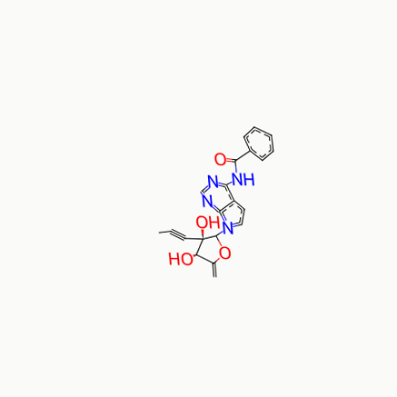 C=C1OC(n2ccc3c(NC(=O)c4ccccc4)ncnc32)[C@@](O)(C#CC)[C@@H]1O